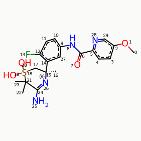 COc1ccc(C(=O)Nc2ccc(F)c([C@]3(C)CS(O)(O)C(C)(C)C(N)=N3)c2)nc1